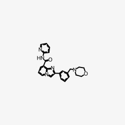 O=C(Nc1ccccn1)c1cccn2cc(-c3cccc(CN4CCOCC4)c3)nc12